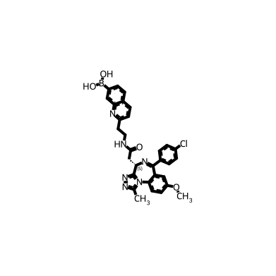 COc1ccc2c(c1)C(c1ccc(Cl)cc1)=N[C@@H](CC(=O)NCCc1ccc3ccc(B(O)O)cc3n1)c1nnc(C)n1-2